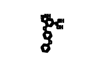 OB(O)c1cc(Oc2ccc(Oc3ccccc3)cc2)c2cn[nH]c2c1